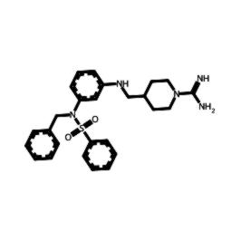 N=C(N)N1CCC(CNc2cccc(N(Cc3ccccc3)S(=O)(=O)c3ccccc3)c2)CC1